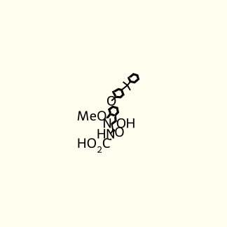 COc1nc(C(=O)NCC(=O)O)c(O)c2ccc(Oc3ccc(C(C)(C)c4ccccc4)cc3)cc12